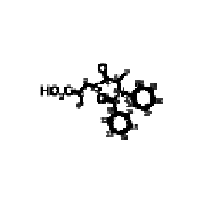 CC(CSC(=O)C(C)N(C(=O)c1ccccc1)c1ccccc1)C(=O)O